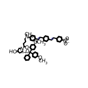 COc1ccc(C(OC[C@@H]2C[C@@H](O)CN2C(=O)CCCN(C)c2ccc(/C=C/c3ccc(/C=C/c4ccc([N+](=O)[O-])cc4)cc3)cc2)(c2ccccc2)c2ccc(OC)cc2)cc1